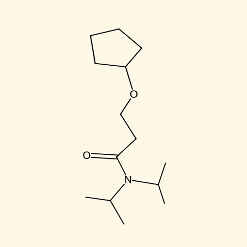 CC(C)N(C(=O)CCOC1CCCC1)C(C)C